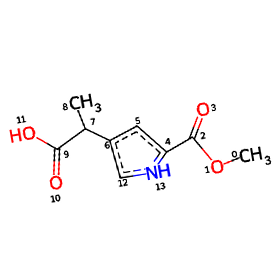 COC(=O)c1cc(C(C)C(=O)O)c[nH]1